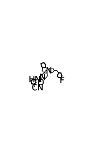 N#Cc1cccc(NC(=O)N2CCCC(Cc3ccccc3)(CN3CCC(Cc4ccc(F)cc4)CC3)C2)c1